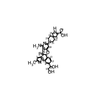 Cc1ccn(-c2cc(C(O)CO)ccc2C(Oc2cc(N3CCC4(CC3)CN[C@H](C(=O)O)C4)nc(N)n2)C(F)(F)F)n1